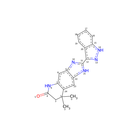 CC1(C)CC(=O)Nc2cc3nc(-c4n[nH]c5ccccc45)[nH]c3cc21